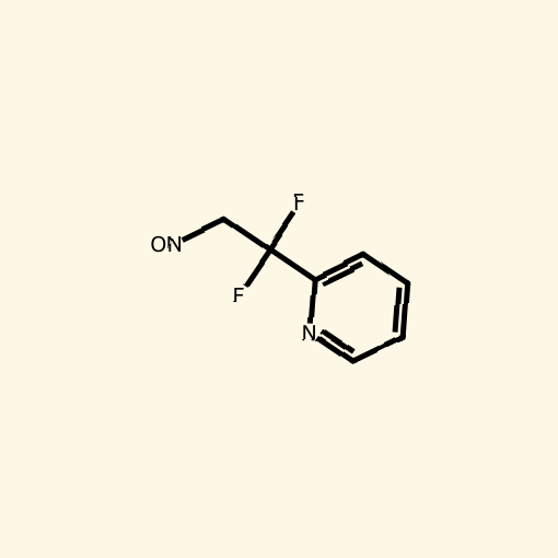 O=NCC(F)(F)c1ccccn1